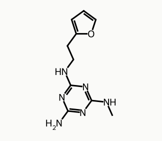 CNc1nc(N)nc(NCCc2ccco2)n1